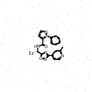 CC[C@H](NC(=O)c1ccnn1-c1ccccc1)c1nc(-c2ccnc(C)c2)no1